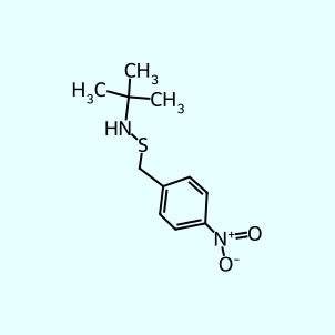 CC(C)(C)NSCc1ccc([N+](=O)[O-])cc1